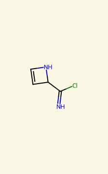 N=C(Cl)C1C=CN1